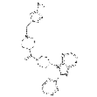 Nc1cc(CN2CCC(C(=O)N3CCC(n4c(-c5ccccn5)nc5cccnc54)CC3)CC2)cs1